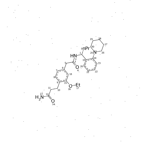 CCCC(NC(=O)Cc1ccc(CCC(N)=O)c(OCC)c1)c1ccccc1N1CCCCC1